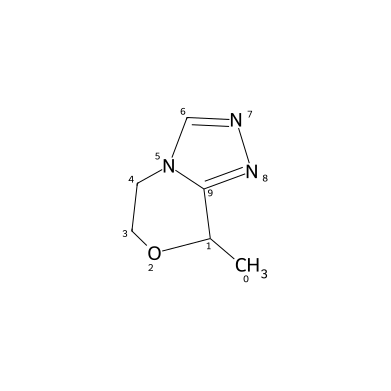 CC1OCCn2cnnc21